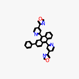 c1ccc(-c2ccc3c(-c4cc(-c5cocn5)ccn4)c4ccccc4c(-c4cc(-c5cocn5)ccn4)c3c2)cc1